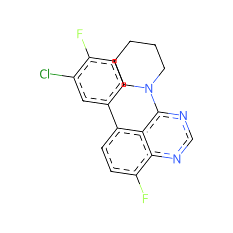 Fc1ccc(-c2ccc(F)c3ncnc(N4CCCCC4)c23)cc1Cl